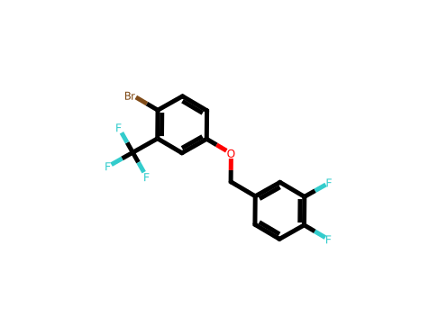 Fc1ccc(COc2ccc(Br)c(C(F)(F)F)c2)cc1F